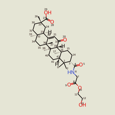 CC1(C)[C@@H](C(=O)NCC(=O)OCCO)CC[C@]2(C)[C@H]3C(=O)C=C4[C@@H]5C[C@@](C)(C(=O)O)CC[C@]5(C)CC[C@@]4(C)[C@]3(C)CC[C@@H]12